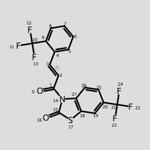 O=C(/C=C/c1ccccc1C(F)(F)F)n1c(=O)sc2cc(C(F)(F)F)ccc21